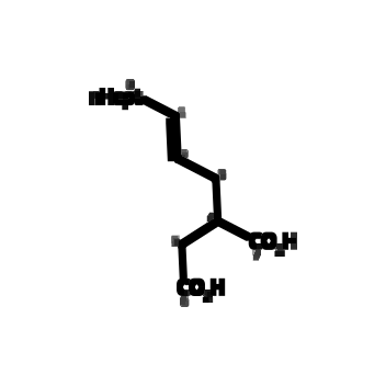 CCCCCCCC=CCC(CC(=O)O)C(=O)O